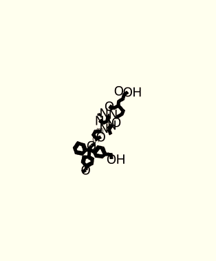 COc1ccc(C(OC[C@@H]2CC[C@H](n3c(C)nc4c(N5C(=O)CCC(CCC(=O)O)C5=O)ncnc43)O2)(c2ccccc2)c2ccc(CO)cc2)cc1